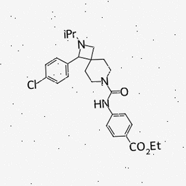 CCOC(=O)c1ccc(NC(=O)N2CCC3(CC2)CN(C(C)C)C3c2ccc(Cl)cc2)cc1